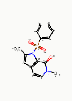 Cn1ccc2cc(C(=O)O)n(S(=O)(=O)c3ccccc3)c2c1=O